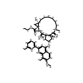 CCOC(=O)[C@@]12C[C@H]1CCCCCCN(C)C(=O)[C@@H]1C[C@H](Oc3cc(-c4cccc(C)n4)nc4c(C)c(OC)ccc34)C[C@H]1C(=O)N2